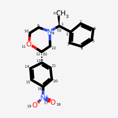 C[C@@H](c1ccccc1)N1CCO[C@@H](c2ccc([N+](=O)[O-])cc2)C1